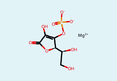 O=C1O[C@H]([C@@H](O)CO)C(OP(=O)([O-])[O-])=C1O.[Mg+2]